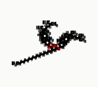 CCCCCCCCCCCCCCCC/C=C/C(CC(=O)O[C@H]1CC[C@@]2(C)C(=CC[C@H]3[C@@H]4CC[C@H]([C@H](C)CCCC(C)C)[C@@]4(C)CC[C@@H]32)C1)C(=O)O[C@H]1CC[C@@]2(C)C(=CC[C@H]3[C@@H]4CC[C@H]([C@H](C)CCCC(C)C)[C@@]4(C)CC[C@@H]32)C1